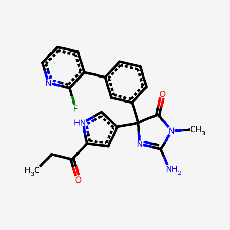 CCC(=O)c1cc(C2(c3cccc(-c4cccnc4F)c3)N=C(N)N(C)C2=O)c[nH]1